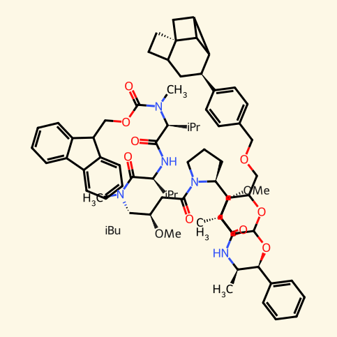 CC[C@H](C)[C@@H]([C@@H](CC(=O)N1CCC[C@H]1[C@H](OC)[C@@H](C)C(=O)N[C@H](C)[C@@H](OC1CCCC(COCc2ccc([C@H]3CC4CC[C@@]45CC4C3C45)cc2)O1)c1ccccc1)OC)N(C)C(=O)[C@@H](NC(=O)[C@H](C(C)C)N(C)C(=O)OCC1c2ccccc2-c2ccccc21)C(C)C